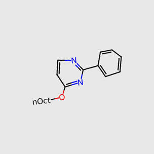 CCCCCCCCOc1ccnc(-c2ccccc2)n1